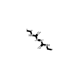 CCNC(=O)N=NC(=O)NCC